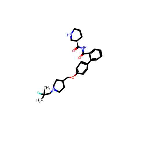 CC(C)(F)CN1CCC(COc2ccc(-c3ccccc3C(=O)NC(=O)[C@@H]3CCCNC3)cc2)CC1